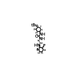 CC(C)(C)c1ccc(NC(=O)NCCNc2ncccc2I)cc1